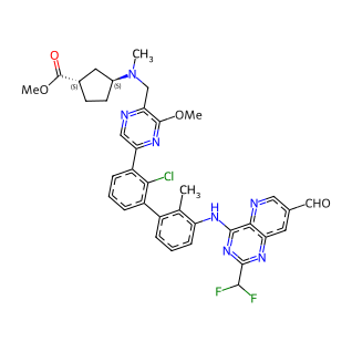 COC(=O)[C@H]1CC[C@H](N(C)Cc2ncc(-c3cccc(-c4cccc(Nc5nc(C(F)F)nc6cc(C=O)cnc56)c4C)c3Cl)nc2OC)C1